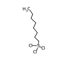 CCCCCCC[CH2][Ti]([Cl])([Cl])[Cl]